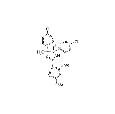 COc1nc(SC)ncc1C1=NC(C)(c2ccc(Cl)cc2)C(C)(c2ccc(Cl)cc2)N1